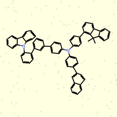 CC1(C)c2ccccc2-c2cccc(-c3ccc(N(c4ccc(-c5cccc(-c6ccccc6-n6c7ccccc7c7ccccc76)c5)cc4)c4ccc(-c5ccc6ccccc6c5)cc4)cc3)c21